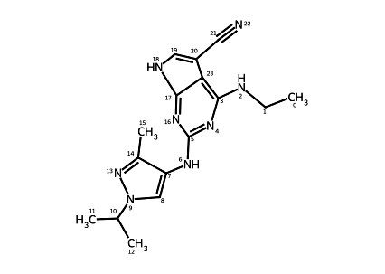 CCNc1nc(Nc2cn(C(C)C)nc2C)nc2[nH]cc(C#N)c12